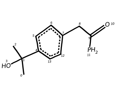 CC(C)(O)c1ccc(CC(=O)P)cc1